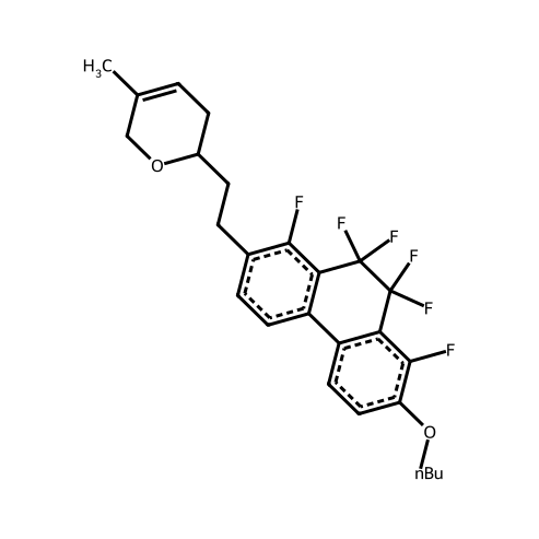 CCCCOc1ccc2c(c1F)C(F)(F)C(F)(F)c1c-2ccc(CCC2CC=C(C)CO2)c1F